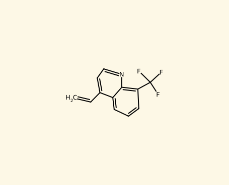 C=Cc1ccnc2c(C(F)(F)F)cccc12